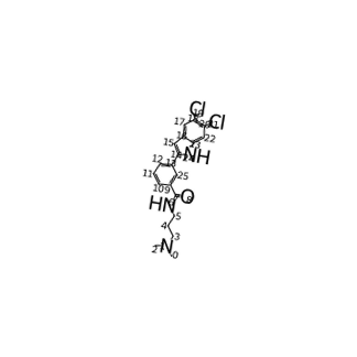 CN(C)CCCNC(=O)c1cccc(-c2cc3cc(Cl)c(Cl)cc3[nH]2)c1